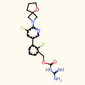 N=C(N)NC(=O)OCc1cccc(-c2cnc(N3CC4(CCCO4)C3)c(F)c2)c1F